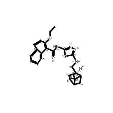 CCOc1ccc2ccccc2c1C(=O)Nc1nnc(NC[C@@H]2CCC3CC2C3(C)C)s1